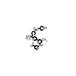 Cc1cc(Nc2cc(C(F)F)ccn2)nc(-c2ccc([C@](C)(O)[C@H]3CC[C@H](C(=O)OCC4CCNCC4)CC3)nc2)c1